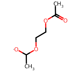 CC(=O)OCCOC(C)[O]